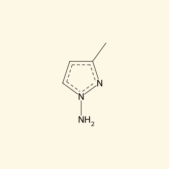 Cc1ccn(N)n1